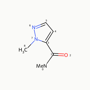 CNC(=O)c1ccnn1C